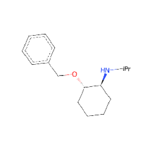 CC(C)N[C@H]1CCCC[C@@H]1OCc1ccccc1